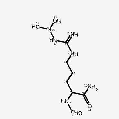 N=C(NCCCC(NC=O)C(N)=O)NN(O)O